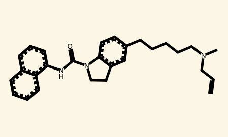 C=CCN(C)CCCCCc1ccc2c(c1)CCN2C(=O)Nc1cccc2ccccc12